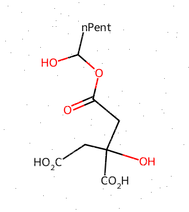 CCCCCC(O)OC(=O)CC(O)(CC(=O)O)C(=O)O